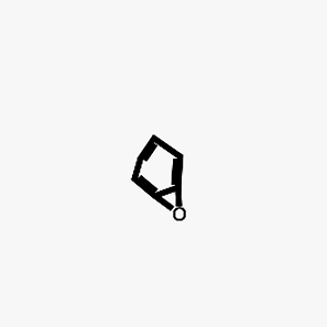 c1ccc2c(c1)O2